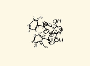 Cc1ccccc1C(=O)O[C@](C(=O)O)(C(=O)c1ccccc1C)C(O)C(=O)O